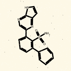 NS(=O)(=O)c1c(-c2ccccc2)cccc1-c1cnc2[nH]ccc2n1